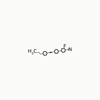 CCCCc1ccc(C#Cc2ccc(-c3ccc(C#N)c(F)c3)cc2)cc1